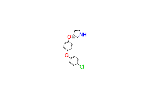 Clc1ccc(Oc2ccc(O[C@@H]3CCNC3)cc2)cc1